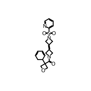 O=C(N1CC(=C2CN(S(=O)(=O)c3ccccn3)C2)C1)C1(C2C=CC=CC2)COC1